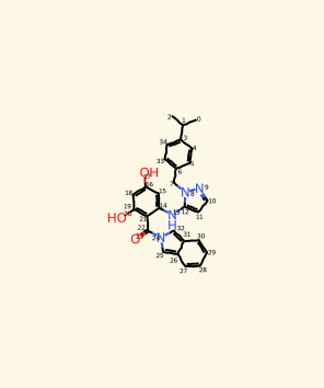 CC(C)c1ccc(Cn2nccc2Nc2cc(O)cc(O)c2C(=O)n2cc3ccccc3c2)cc1